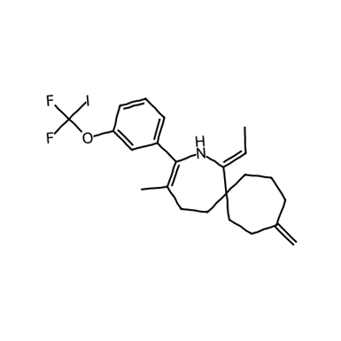 C=C1CCCC2(CC1)CCC(C)=C(c1cccc(OC(F)(F)I)c1)NC2=CC